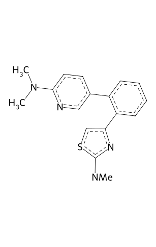 CNc1nc(-c2ccccc2-c2ccc(N(C)C)nc2)cs1